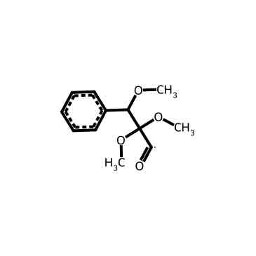 COC(c1ccccc1)C([C]=O)(OC)OC